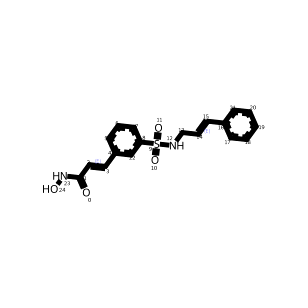 O=C(/C=C/c1cccc(S(=O)(=O)NC/C=C/c2ccccc2)c1)NO